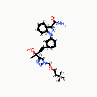 CC(O)(C#Cc1cccc(-n2nc(C(N)=O)c3ccccc32)c1)c1cn(COCC[Si](C)(C)C)nn1